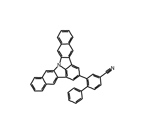 N#Cc1ccc(-c2ccccc2)c(-c2cc3c4cc5ccccc5cc4n4c5cc6ccccc6cc5c(c2)c34)c1